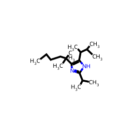 CCCCC(C)(C)c1nc(C(C)C)[nH]c1C(C)C(C)C